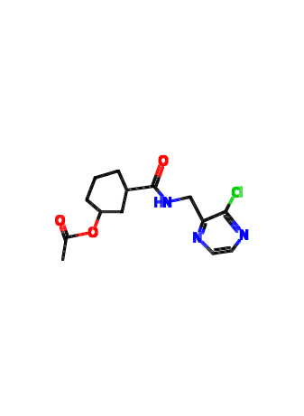 CC(=O)OC1CCCC(C(=O)NCc2nccnc2Cl)C1